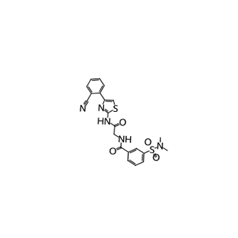 CN(C)S(=O)(=O)c1cccc(C(=O)NCC(=O)Nc2nc(-c3ccccc3C#N)cs2)c1